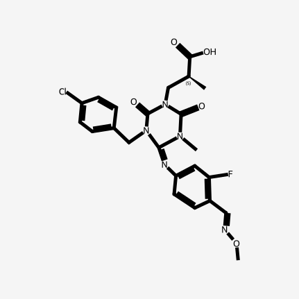 CON=Cc1ccc(N=c2n(C)c(=O)n(C[C@H](C)C(=O)O)c(=O)n2Cc2ccc(Cl)cc2)cc1F